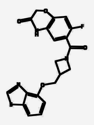 O=C1COc2cc(F)c(C(=O)N3CC(COc4cccc5scnc45)C3)cc2N1